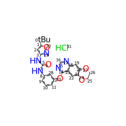 CC(C)(C)c1cc(NC(=O)Nc2cccc(Oc3ncnc4cc5c(cc34)OCCO5)c2)no1.Cl